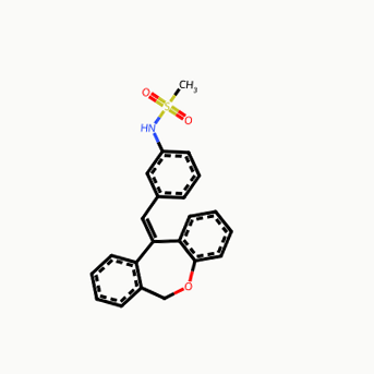 CS(=O)(=O)Nc1cccc(C=C2c3ccccc3COc3ccccc32)c1